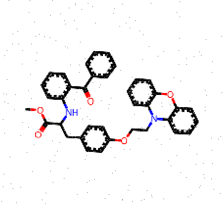 COC(=O)C(Cc1ccc(OCCN2c3ccccc3Oc3ccccc32)cc1)Nc1ccccc1C(=O)c1ccccc1